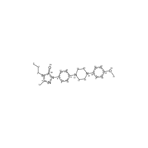 CCCn1c(C)nn(-c2ccc(N3CCN(c4ccc(OC)cc4)CC3)cc2)c1=O